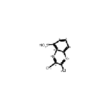 O=S(=O)(O)c1cccc2nc(Cl)c(Cl)nc12